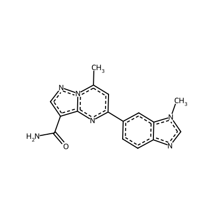 Cc1cc(-c2ccc3ncn(C)c3c2)nc2c(C(N)=O)cnn12